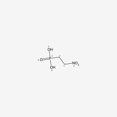 O=[N+]([O-])CCP(=O)(O)O